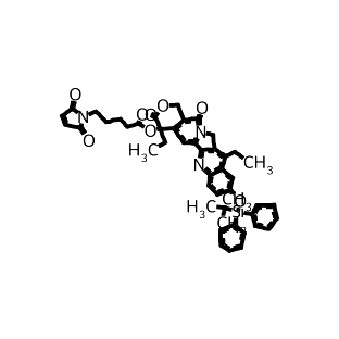 CCc1c2c(nc3ccc(O[Si](c4ccccc4)(c4ccccc4)C(C)(C)C)cc13)-c1cc3c(c(=O)n1C2)COC(=O)C3(CC)OC(=O)CCCCN1C(=O)C=CC1=O